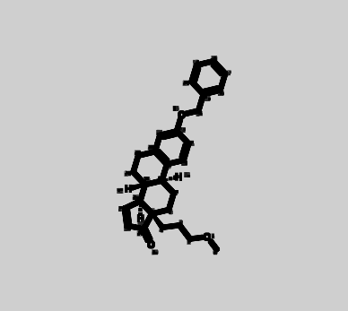 COCCC[C@]12CC[C@@H]3c4ccc(OCc5ccccc5)cc4CC[C@H]3[C@@H]1C=CC2=O